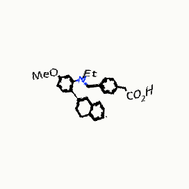 CCN(Cc1ccc(CC(=O)O)cc1)c1cc(OC)ccc1[C@@H]1CCc2c[c]ccc2C1